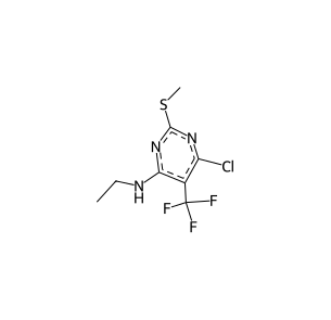 CCNc1nc(SC)nc(Cl)c1C(F)(F)F